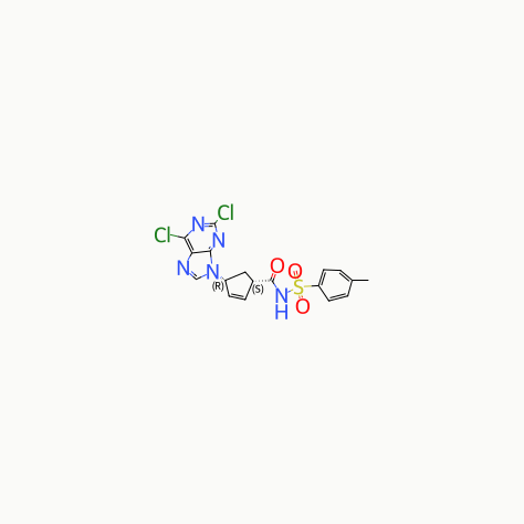 Cc1ccc(S(=O)(=O)NC(=O)[C@@H]2C=C[C@H](n3cnc4c(Cl)nc(Cl)nc43)C2)cc1